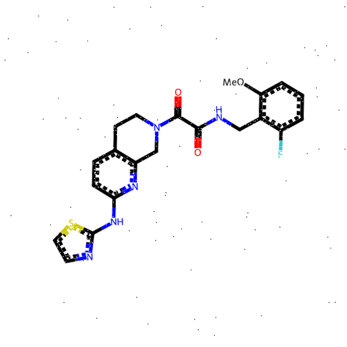 COc1cccc(F)c1CNC(=O)C(=O)N1CCc2ccc(Nc3nccs3)nc2C1